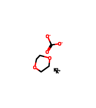 C1COCCO1.O=C([O-])[O-].[K+].[K+]